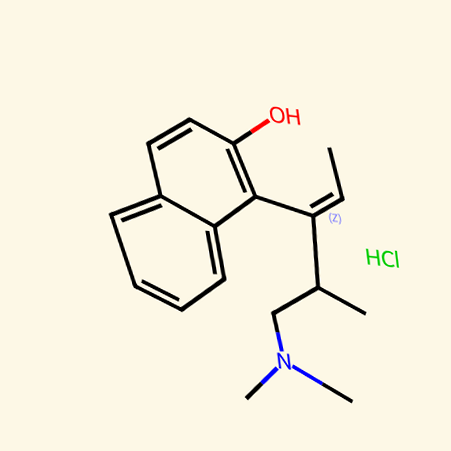 C/C=C(\c1c(O)ccc2ccccc12)C(C)CN(C)C.Cl